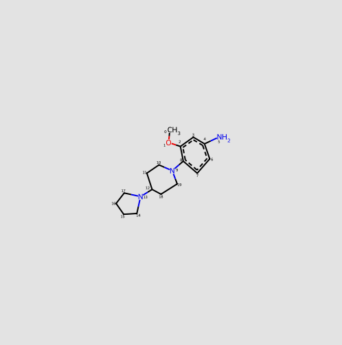 COc1cc(N)ccc1N1CCC(N2CCCC2)CC1